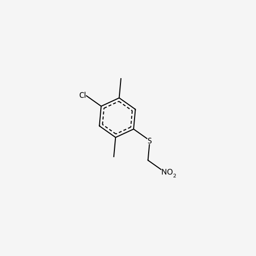 Cc1cc(SC[N+](=O)[O-])c(C)cc1Cl